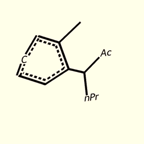 CCCC(C(C)=O)c1ccccc1C